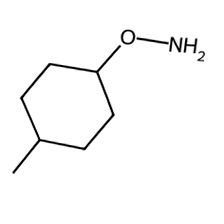 CC1CCC(ON)CC1